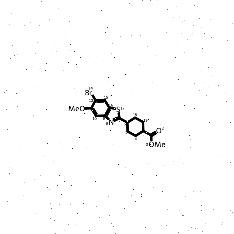 COC(=O)C1CCC(c2nc3cc(OC)c(Br)cc3s2)CC1